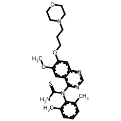 COc1cc2c(N(C(N)=S)c3c(C)cccc3C)ncnc2cc1OCCCN1CCOCC1